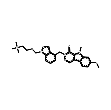 CSc1ccc2c3cnn(Cc4cccc5c4cnn5COCC[Si](C)(C)C)c(=O)c3n(C)c2c1